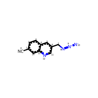 N#Cc1ccc2cc(CN=[N+]=[N-])cnc2c1